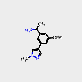 COc1cc(-c2cnn(C)c2)cc(C(C)N)c1